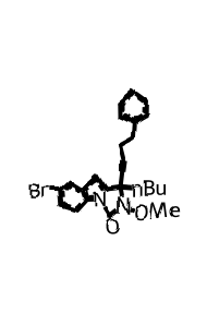 CCCCC1(C#CCCc2ccccc2)c2cc3cc(Br)ccc3n2C(=O)N1OC